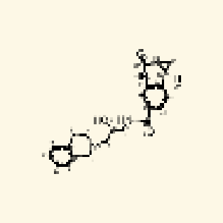 O=C(NC[C@H](O)CN1CCc2ccccc2C1)c1ccc2c(c1)NC(=O)C1C[C@@H]21